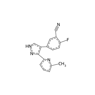 Cc1cccc(-c2n[nH]cc2-c2ccc(F)c(C#N)c2)n1